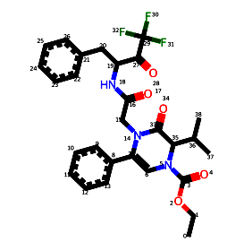 CCOC(=O)N1C=C(c2ccccc2)N(CC(=O)NC(Cc2ccccc2)C(=O)C(F)(F)F)C(=O)C1C(C)C